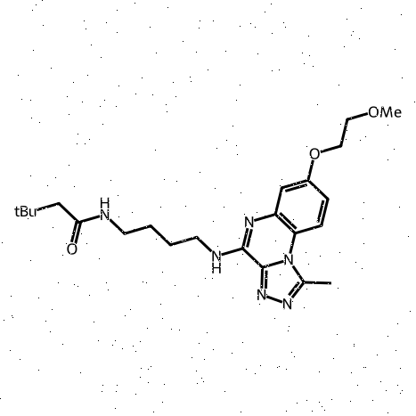 COCCOc1ccc2c(c1)nc(NCCCCNC(=O)CC(C)(C)C)c1nnc(C)n12